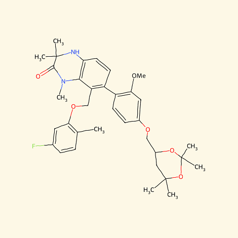 COc1cc(OCC2CC(C)(C)OC(C)(C)O2)ccc1-c1ccc2c(c1COc1cc(F)ccc1C)N(C)C(=O)C(C)(C)N2